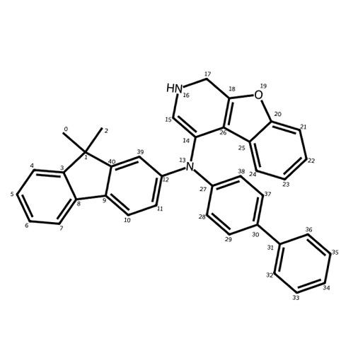 CC1(C)c2ccccc2-c2ccc(N(C3=CNCc4oc5ccccc5c43)c3ccc(-c4ccccc4)cc3)cc21